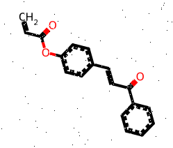 C=CC(=O)Oc1ccc(/C=C/C(=O)c2ccccc2)cc1